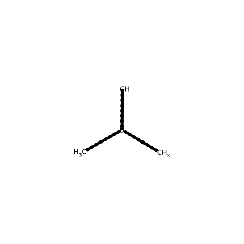 C#CC#CC#CC#CC#CC#CC#CC#CB(C#CC#CC#CC#CC#CC#CC#CC#CC)C#CC#CC#CC#CC#CC#CC#CC#CC